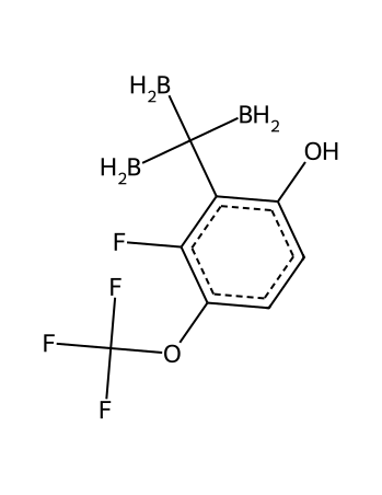 BC(B)(B)c1c(O)ccc(OC(F)(F)F)c1F